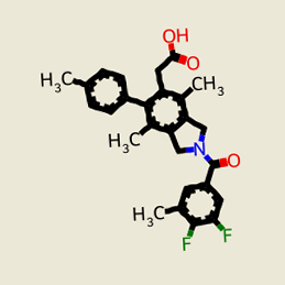 Cc1ccc(-c2c(C)c3c(c(C)c2CC(=O)O)CN(C(=O)c2cc(C)c(F)c(F)c2)C3)cc1